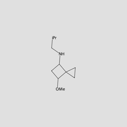 COC1CC(NCC(C)C)C12CC2